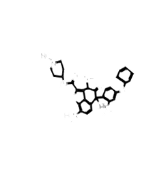 Cc1cc(Oc2ccccc2)ccc1C1(N)C(=O)C(N)c2c(C(=O)NC3CCN(C#N)CC3)sc3c(N)ccc1c23